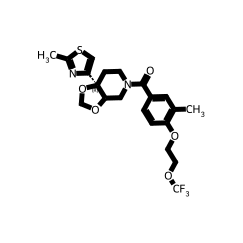 Cc1nc([C@]23CCN(C(=O)c4ccc(OCCOC(F)(F)F)c(C)c4)CC2OCO3)cs1